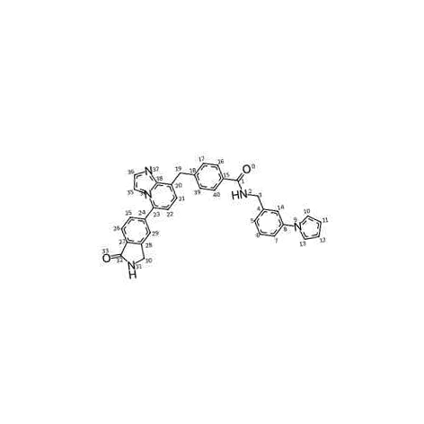 O=C(NCc1cccc(-n2cccc2)c1)c1ccc(Cc2ccc(-c3ccc4c(c3)CNC4=O)n3ccnc23)cc1